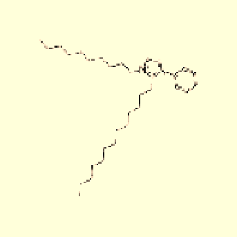 CCCCCCCCCCCCCc1n(-c2ccccc2)cc[n+]1CCCCCCCCCC